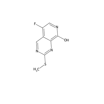 CSc1ncc2c(F)cnc(O)c2n1